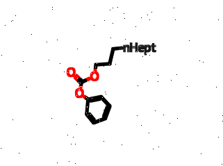 CCCCCCCCCCOC(=O)Oc1ccccc1